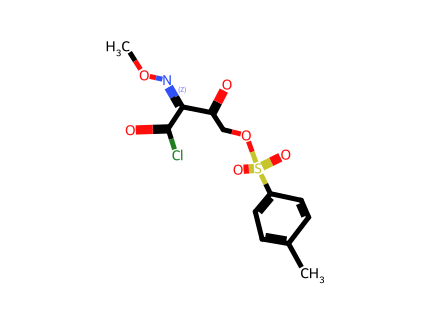 CO/N=C(\C(=O)Cl)C(=O)COS(=O)(=O)c1ccc(C)cc1